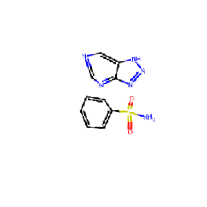 NS(=O)(=O)c1ccccc1.c1ncc2[nH]nnc2n1